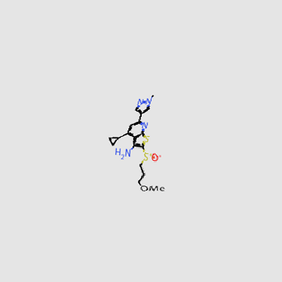 COCCC[S+]([O-])c1sc2nc(-c3cnn(C)c3)cc(C3CC3)c2c1N